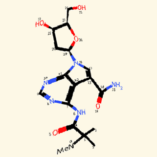 CNC(C)(C)C(=O)Nc1ncnc2c1c(C(N)=O)cn2[C@H]1C[C@@H](O)[C@@H](CO)O1